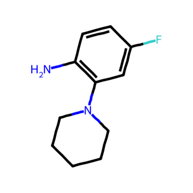 Nc1ccc(F)cc1N1CCCCC1